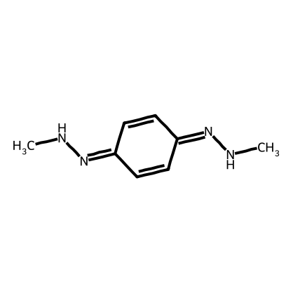 CNN=C1C=CC(=NNC)C=C1